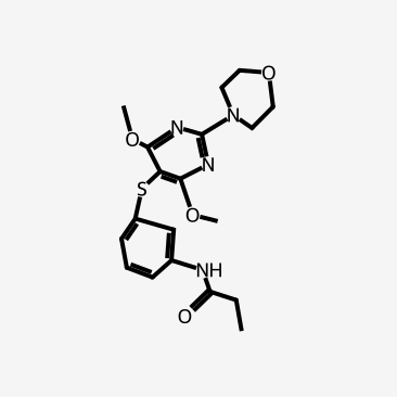 CCC(=O)Nc1cccc(Sc2c(OC)nc(N3CCOCC3)nc2OC)c1